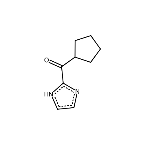 O=C(c1ncc[nH]1)C1CCCC1